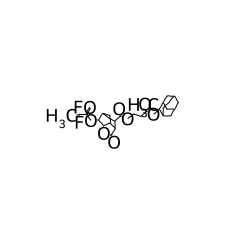 CC(F)(F)C(=O)OC1C2CC3C1OC(=O)C3C2C(=O)OCCC(=O)OC1(C)C2CC3CC(C2)CC1C3